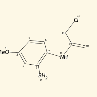 Bc1cc(OC)ccc1NC(=C)CCl